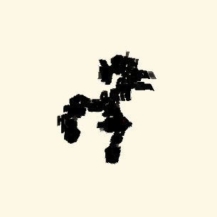 Cc1ncsc1-c1ccc([C@H](C)NC(=O)[C@@H]2C[C@@H](O)CN2C(=O)[C@@H](NC(=O)C2CC(NC(=O)c3nc(N4CCCc5c4nnc(Nc4nc6ccccc6s4)c5C)ccc3-c3cnn(CC45CC6(OCCN7CCCC7)C[C@](C)(C4)C[C@](C)(C5)C6)c3C)C2)C(C)(C)C)cc1